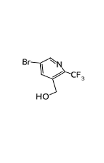 OCc1cc(Br)cnc1C(F)(F)F